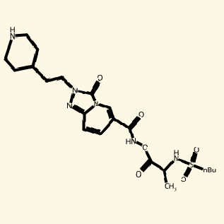 CCCCS(=O)(=O)NC(C)C(=O)ONC(=O)c1ccc2nn(CCC3CCNCC3)c(=O)n2c1